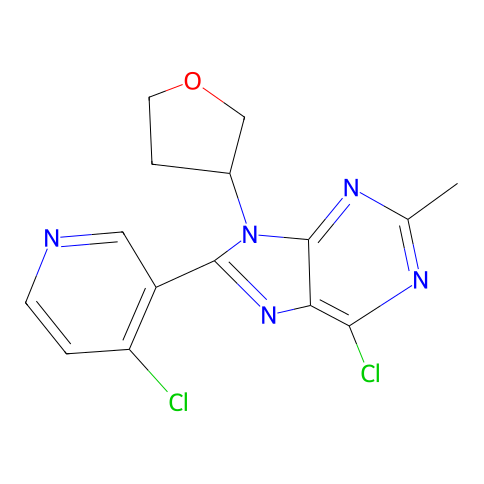 Cc1nc(Cl)c2nc(-c3cnccc3Cl)n(C3CCOC3)c2n1